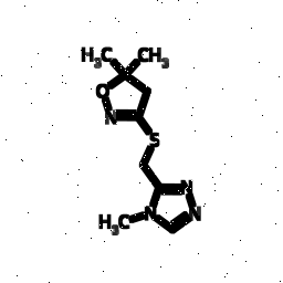 Cn1cnnc1CSC1=NOC(C)(C)C1